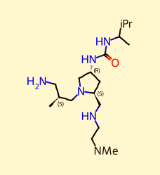 CNCCNC[C@@H]1C[C@@H](NC(=O)NC(C)C(C)C)CN1C[C@@H](C)CN